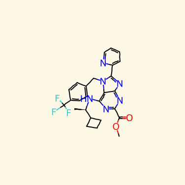 COC(=O)c1nc(N[C@H](C)C2CCC2)c2c(n1)nc(-c1ccccn1)n2Cc1ccc(C(F)(F)F)cc1